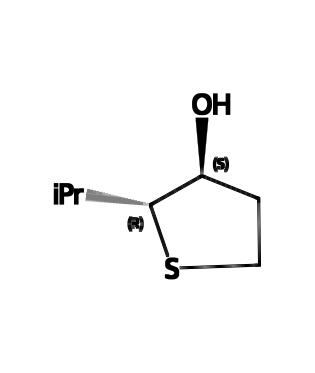 CC(C)[C@H]1SCC[C@@H]1O